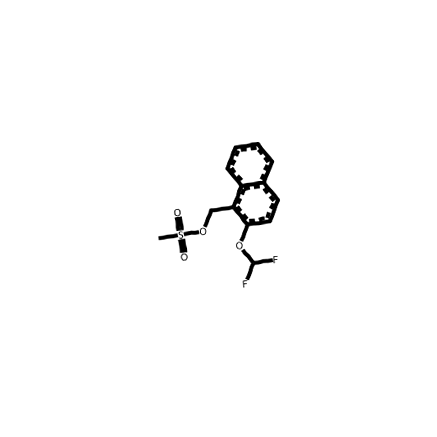 CS(=O)(=O)OCc1c(OC(F)F)ccc2ccccc12